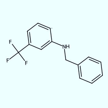 FC(F)(F)c1cc[c]c(NCc2ccccc2)c1